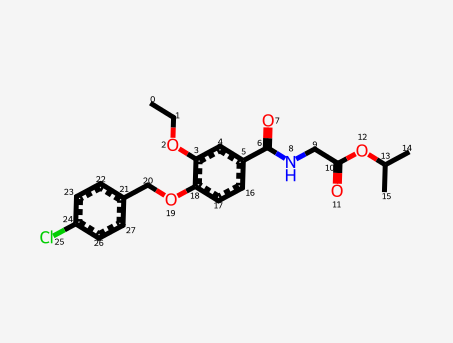 CCOc1cc(C(=O)NCC(=O)OC(C)C)ccc1OCc1ccc(Cl)cc1